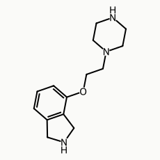 c1cc2c(c(OCCN3CCNCC3)c1)CNC2